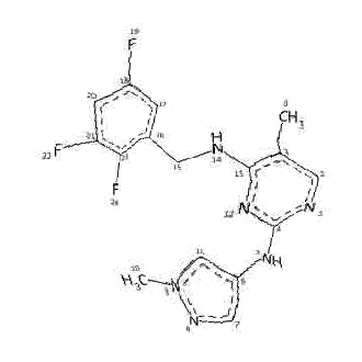 Cc1cnc(Nc2cnn(C)c2)nc1NCc1cc(F)cc(F)c1F